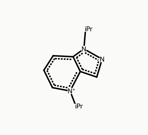 CC(C)n1ncc2c1ccc[n+]2C(C)C